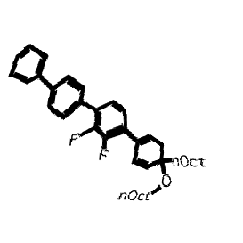 CCCCCCCCOC1(CCCCCCCC)C=CC(c2ccc(-c3ccc(-c4ccccc4)cc3)c(F)c2F)=CC1